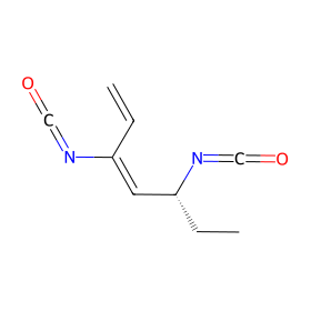 C=C/C(=C\[C@@H](CC)N=C=O)N=C=O